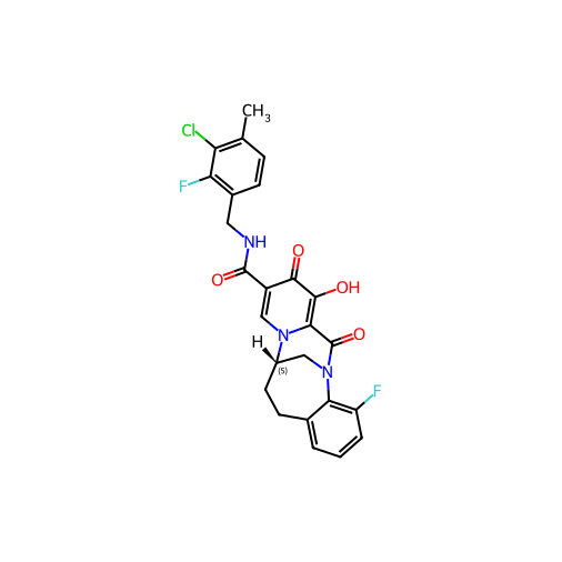 Cc1ccc(CNC(=O)c2cn3c(c(O)c2=O)C(=O)N2C[C@@H]3CCc3cccc(F)c32)c(F)c1Cl